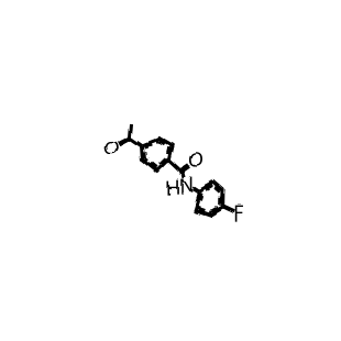 CC(=O)c1ccc(C(=O)Nc2ccc(F)cc2)cc1